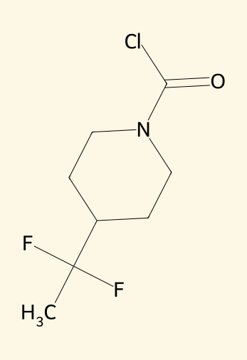 CC(F)(F)C1CCN(C(=O)Cl)CC1